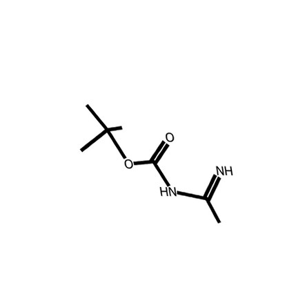 CC(=N)NC(=O)OC(C)(C)C